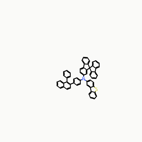 c1ccc(-c2c(-c3ccc(N(c4ccc5c(c4)C4(c6ccccc6-c6ccccc64)c4ccccc4-5)c4ccc5sc6ccccc6c5c4)cc3)ccc3ccccc23)cc1